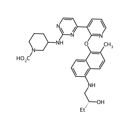 CC[C@@H](O)CNc1cccc2c(Oc3ncccc3-c3ccnc(NC4CCCN(C(=O)O)C4)n3)c(C)ccc12